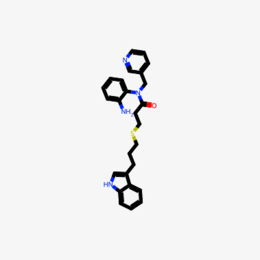 Nc1ccccc1N(Cc1cccnc1)C(=O)CCSCCCc1c[nH]c2ccccc12